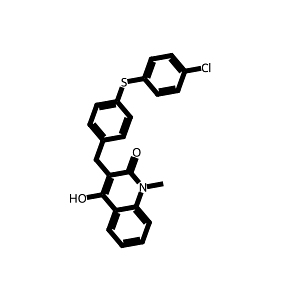 Cn1c(=O)c(Cc2ccc(Sc3ccc(Cl)cc3)cc2)c(O)c2ccccc21